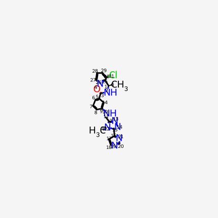 C[C@@H](NC(=O)c1cccc(NCc2nnc(-c3ccncn3)n2C)c1)c1ncccc1Cl